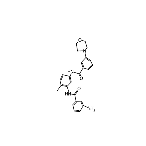 Cc1ccc(NC(=O)c2cccc(N3CCOCC3)c2)cc1NC(=O)c1cccc(N)c1